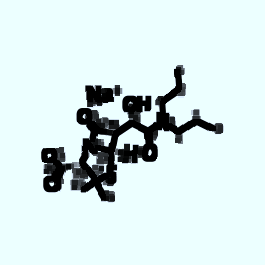 CCCN(CCC)C(=O)[C@@H](O)[C@@H]1C(=O)N2[C@@H]1SC(C)(C)[C@@H]2C(=O)[O-].[Na+]